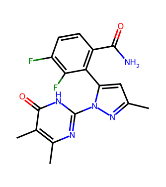 Cc1cc(-c2c(C(N)=O)ccc(F)c2F)n(-c2nc(C)c(C)c(=O)[nH]2)n1